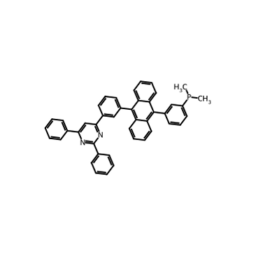 CP(C)c1cccc(-c2c3ccccc3c(-c3cccc(-c4cc(-c5ccccc5)nc(-c5ccccc5)n4)c3)c3ccccc23)c1